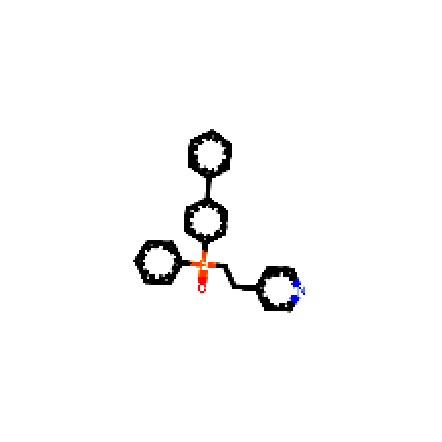 O=P(CCc1ccncc1)(c1ccccc1)c1ccc(-c2ccccc2)cc1